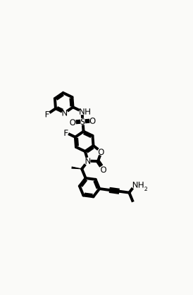 CC(N)C#Cc1cccc([C@@H](C)n2c(=O)oc3cc(S(=O)(=O)Nc4cccc(F)n4)c(F)cc32)c1